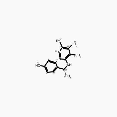 Cc1c(N[C@H](C)c2ccc(O)cc2)nnc(C(C)C)c1C